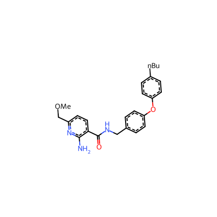 CCCCc1ccc(Oc2ccc(CNC(=O)c3ccc(COC)nc3N)cc2)cc1